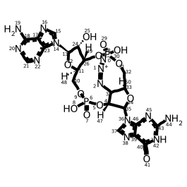 [N-]=[N+]=NC1[C@H]2OP(=O)(O)OC[C@H]3O[C@@H](n4cnc5c(N)ncnc54)[C@H](O)[C@@H]3OP(=O)(O)OC[C@H]1OC2n1cnc2c(=O)[nH]c(N)nc21